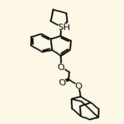 O=C(COc1ccc([SH]2CCCC2)c2ccccc12)OC1C2CC3CC(C2)CC1C3